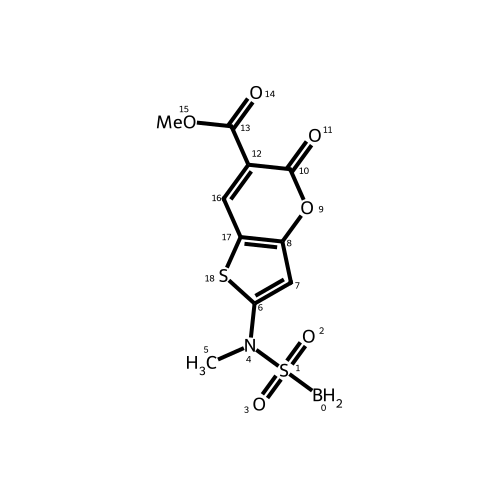 BS(=O)(=O)N(C)c1cc2oc(=O)c(C(=O)OC)cc2s1